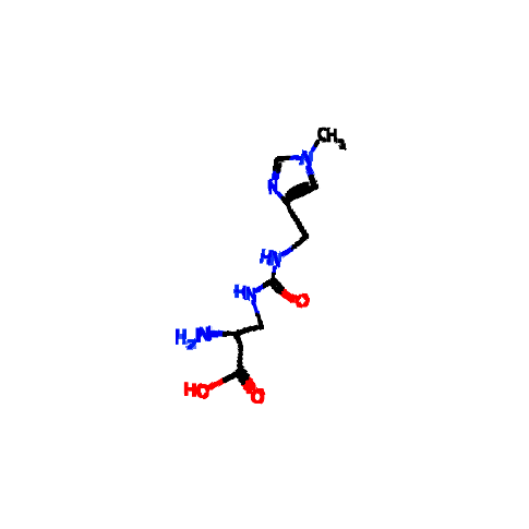 Cn1cnc(CNC(=O)NC[C@H](N)C(=O)O)c1